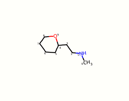 CNCCC1CCCCO1